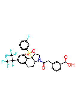 O=C(O)c1cccc(CC(=O)N2CCC3(S(=O)(=O)c4cccc(F)c4)c4ccc(C(F)(C(F)(F)F)C(F)(F)F)cc4CCC23)c1